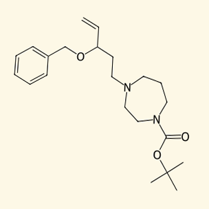 C=CC(CCN1CCCN(C(=O)OC(C)(C)C)CC1)OCc1ccccc1